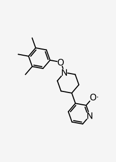 Cc1cc(ON2CCC(c3cccnc3[O])CC2)cc(C)c1C